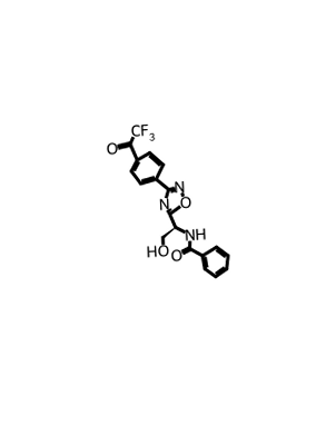 O=C(N[C@@H](CO)c1nc(-c2ccc(C(=O)C(F)(F)F)cc2)no1)c1ccccc1